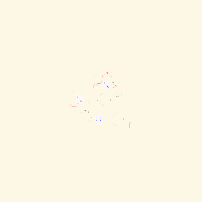 C[C@@H]1N=C(c2ccc(F)cc2)c2cc(Cl)c(N(S(C)(=O)=O)S(C)(=O)=O)cc2-c2cn(C)c(=O)cc21